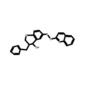 OC1c2cc(SOc3ccc4ccccc4n3)ccc2OCC1Cc1ccccc1